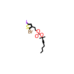 CCCCC#CC(C)(C)OC(=O)OCCc1cc(I)sc1Br